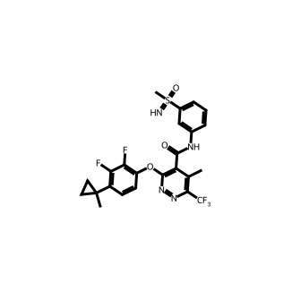 Cc1c(C(F)(F)F)nnc(Oc2ccc(C3(C)CC3)c(F)c2F)c1C(=O)Nc1cccc(S(C)(=N)=O)c1